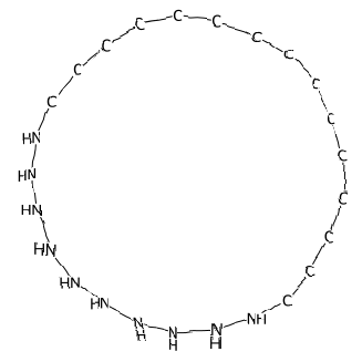 C1CCCCCCCNNNNNNNNNNCCCCCCC1